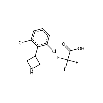 Clc1cccc(Cl)c1C1CNC1.O=C(O)C(F)(F)F